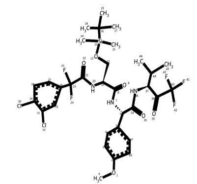 COc1ccc([C@H](NC(=O)[C@H](CO[Si](C)(C)C(C)(C)C)NC(=O)C(F)(F)c2ccc(Cl)c(Cl)c2)C(=O)N[C@H](C(=O)C(F)(F)F)C(C)C)cc1